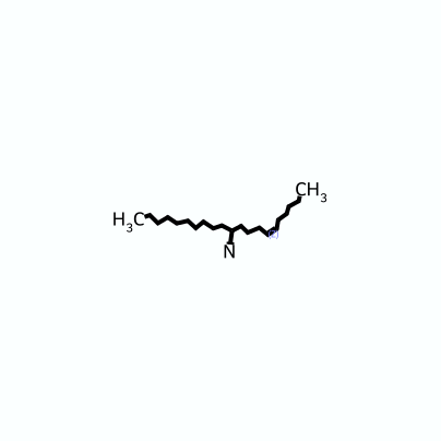 CCCCC/C=C\CCCC(C#N)CCCCCCCCCC